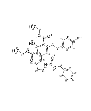 CCOC(=O)c1c(CCc2ccc(F)cc2)cc([C@@H]2CCCN2C(=O)OCc2ccccc2)c(C(=O)OCC)c1O